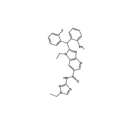 CCn1cnc(NC(=O)c2cnc3nc(C(c4ccccc4F)c4ccccc4P)n(CC)c3c2)n1